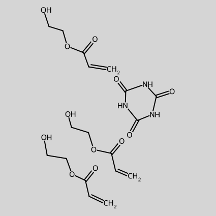 C=CC(=O)OCCO.C=CC(=O)OCCO.C=CC(=O)OCCO.O=c1[nH]c(=O)[nH]c(=O)[nH]1